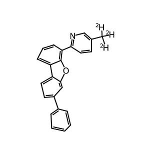 [2H]C([2H])([2H])c1ccc(-c2cccc3c2oc2cc(-c4ccccc4)ccc23)nc1